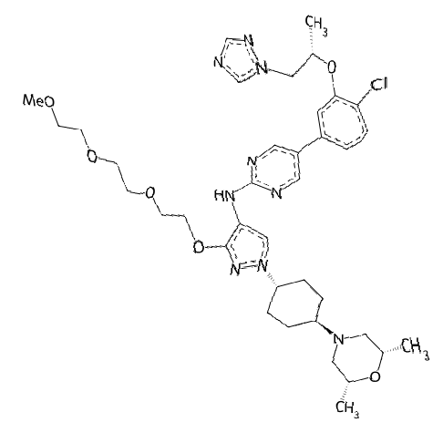 COCCOCCOCCOc1nn([C@H]2CC[C@H](N3C[C@@H](C)O[C@@H](C)C3)CC2)cc1Nc1ncc(-c2ccc(Cl)c(O[C@@H](C)Cn3cncn3)c2)cn1